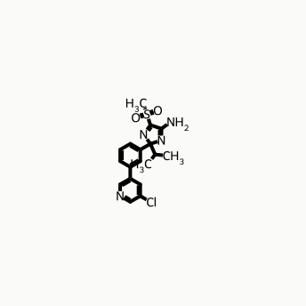 CC(C)C1(c2cccc(-c3cncc(Cl)c3)c2)N=C(N)C(S(C)(=O)=O)=N1